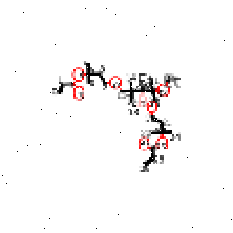 C=CC(=O)OC(C)(C)CCOCC(C)(C)C(CC)(B(C)OCCC(C)(C)OC(=O)C=C)C(C)(C)OCC